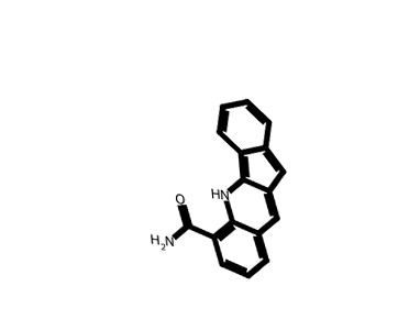 NC(=O)c1cccc2cc3cc4ccccc4c-3[nH]c12